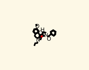 CCCN1CCC23c4cc(OC)ccc4CC1C21CCC2C3[C@@H](CN2C(=O)c2ccccc2)O1